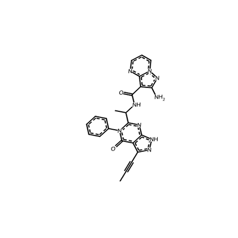 CC#Cc1n[nH]c2nc(C(C)NC(=O)c3c(N)nn4cccnc34)n(-c3ccccc3)c(=O)c12